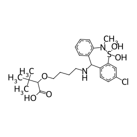 CN1c2ccccc2C(NCCCCOC(C(=O)O)C(C)(C)C)c2ccc(Cl)cc2S1(O)O